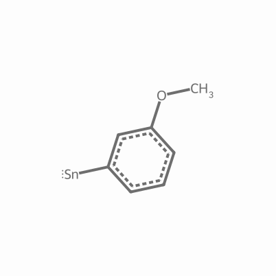 COc1ccc[c]([Sn])c1